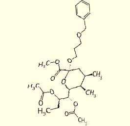 CC[C@@H](OC(C)=O)[C@@H](OC(C)=O)C1O[C@@](OCCCOCc2ccccc2)(C(=O)OC)C[C@@H](C)[C@H]1C